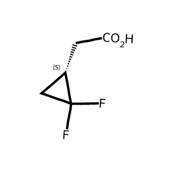 O=C(O)C[C@H]1CC1(F)F